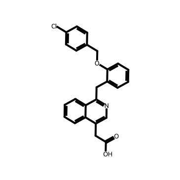 O=C(O)Cc1cnc(Cc2ccccc2OCc2ccc(Cl)cc2)c2ccccc12